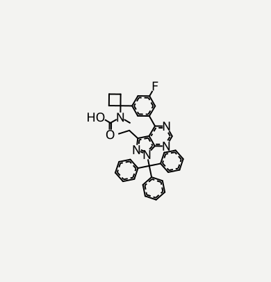 CCc1nn(C(c2ccccc2)(c2ccccc2)c2ccccc2)c2ncnc(-c3cc(F)cc(C4(N(C)C(=O)O)CCC4)c3)c12